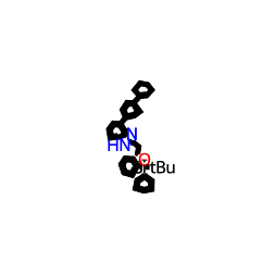 CC(C)(C)[Si](OCCc1nc2c(-c3ccc(C4=CCCCC4)cc3)cccc2[nH]1)(c1ccccc1)c1ccccc1